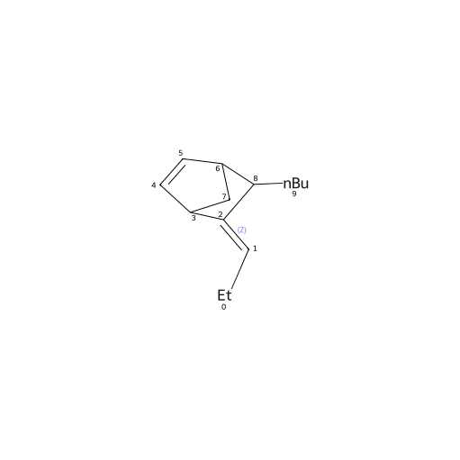 CC/C=C1\C2C=CC(C2)C1CCCC